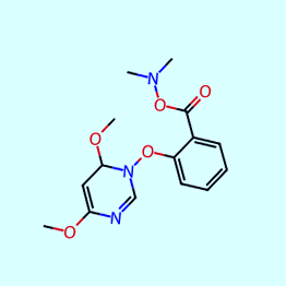 COC1=CC(OC)N(Oc2ccccc2C(=O)ON(C)C)C=N1